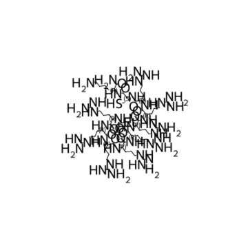 CCC(=O)N[C@H](CCCNC(=N)N)C(=O)N[C@H](CCCNC(=N)N)C(=O)N[C@H](CCCNC(=N)N)C(=O)N[C@H](CCCNC(=N)N)C(=O)N[C@H](CCCNC(=N)N)C(=O)N[C@H](CCCNC(=N)N)C(=O)N[C@H](CCCNC(=N)N)C(=O)N[C@H](CCCNC(=N)N)C(=O)N[C@H](CS)C(=O)N[C@H](CCCCN)C(N)=O